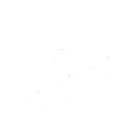 CCc1ccc(N(CCN2CCCCC2)C(=O)C2CCCc3c(O)cccc32)cc1